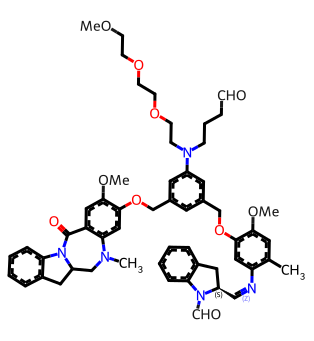 COCCOCCOCCN(CCCC=O)c1cc(COc2cc(/N=C\[C@@H]3Cc4ccccc4N3C=O)c(C)cc2OC)cc(COc2cc3c(cc2OC)C(=O)N2c4ccccc4CC2CN3C)c1